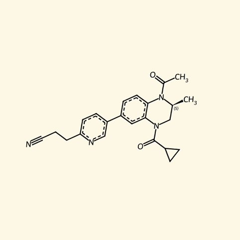 CC(=O)N1c2ccc(-c3ccc(CCC#N)nc3)cc2N(C(=O)C2CC2)C[C@@H]1C